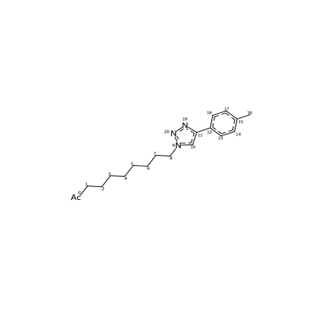 CC(=O)CCCCCCCCn1cc(-c2ccc(C)cc2)nn1